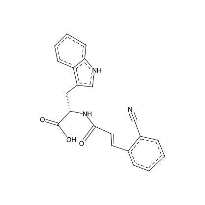 N#Cc1ccccc1C=CC(=O)N[C@@H](Cc1c[nH]c2ccccc12)C(=O)O